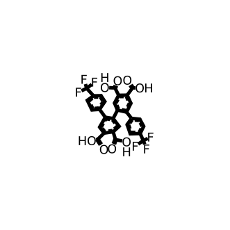 O=C(O)c1cc(-c2ccc(C(F)(F)F)cc2)c(-c2cc(C(=O)O)c(C(=O)O)cc2-c2ccc(C(F)(F)F)cc2)cc1C(=O)O